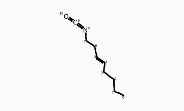 CCCCC=CCCN=C=O